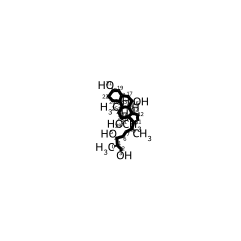 C[C@H](CO)[C@H](O)CC[C@@H](C)[C@H]1CC[C@H]2[C@@H]3C(O)CC4CC(O)CC[C@]4(C)[C@H]3CC(O)[C@]12C